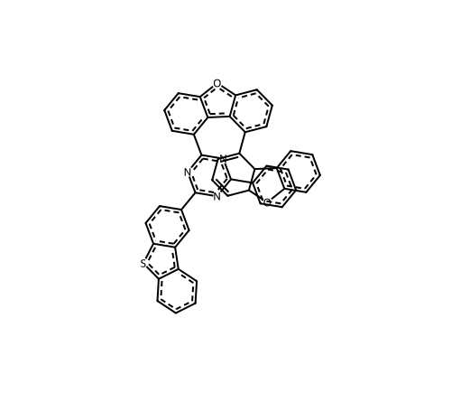 C1=CC2Oc3ccccc3C2C(c2cccc3oc4cccc(-c5nc(-c6ccccc6)nc(-c6ccc7sc8ccccc8c7c6)n5)c4c23)=C1